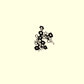 CC(=O)OC(C(=O)NC1=CC(N2CCCC2)C=C/C1=C1\C(=O)C(=O)C(c2ccc(N3CCCC3)cc2NC(=O)C(OC(C)=O)c2ccccc2)=C1O)c1ccccc1